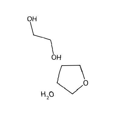 C1CCOC1.O.OCCO